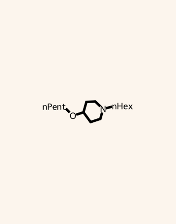 CCCCCCN1CCC(OCCCCC)CC1